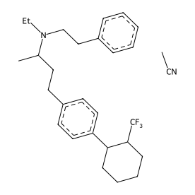 CC#N.CCN(CCc1ccccc1)C(C)CCc1ccc(C2CCCCC2C(F)(F)F)cc1